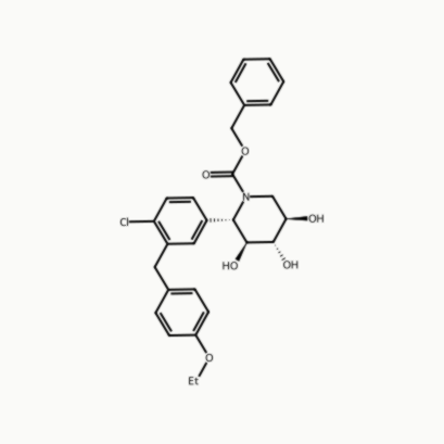 CCOc1ccc(Cc2cc([C@H]3[C@H](O)[C@@H](O)[C@H](O)CN3C(=O)OCc3ccccc3)ccc2Cl)cc1